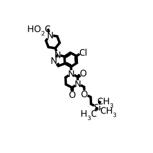 C[Si](C)(C)CCOCN1C(=O)CCN(c2cc(Cl)cc3c2cnn3C2CCN(C(=O)O)CC2)C1=O